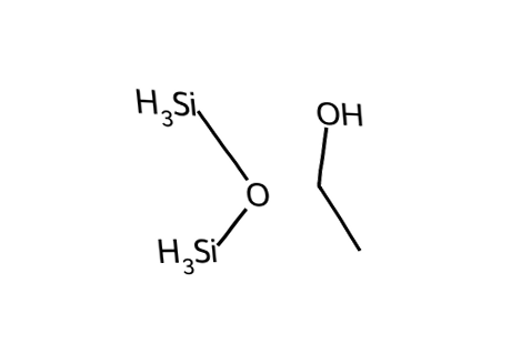 CCO.[SiH3]O[SiH3]